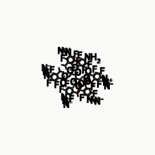 CC(C)c1c(F)c(N)c(F)c(F)c1COC(C(COC(=O)c1c(F)c(F)c(N=[N+]=[N-])c(F)c1C(C)C)OC(=O)c1c(F)c(F)c(N=[N+]=[N-])c(F)c1C(C)C)C(OC(=O)c1c(F)c(F)c(N=[N+]=[N-])c(F)c1C(C)C)C(COC(=O)c1c(F)c(F)c(N=[N+]=[N-])c(F)c1C(C)C)OC(=O)c1c(F)c(F)c(N=[N+]=[N-])c(F)c1C(C)C